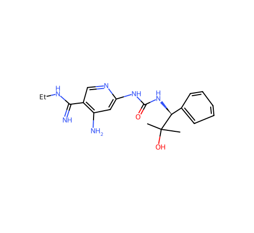 CCNC(=N)c1cnc(NC(=O)N[C@@H](c2ccccc2)C(C)(C)O)cc1N